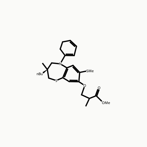 CCCC[C@]1(C)CSc2cc(OCC(C)C(=O)OC)c(SC)cc2N(C2=CC=CCC2)C1